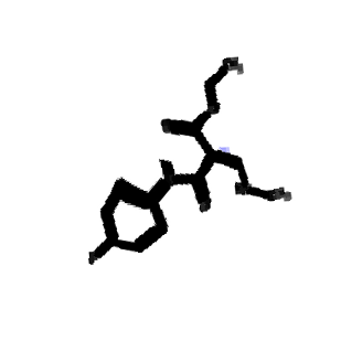 CCOC(=O)/C(=C/NC)C(=O)Nc1ccc(F)cc1